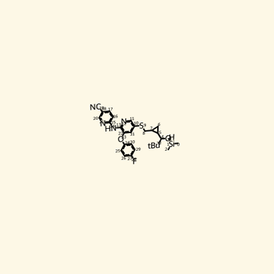 C[SiH](C)OC(C1CC1CSc1cnc(Nc2ccc(C#N)cn2)c(Oc2ccc(F)cc2)c1)C(C)(C)C